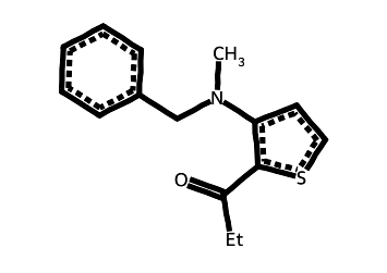 CCC(=O)c1sccc1N(C)Cc1ccccc1